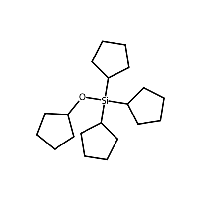 C1CCC(O[Si](C2CCCC2)(C2CCCC2)C2CCCC2)C1